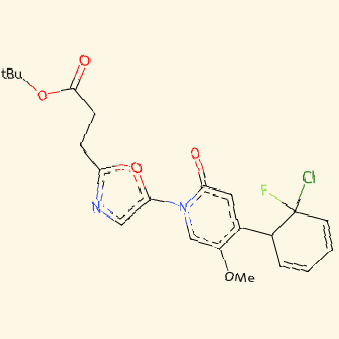 COc1cn(-c2cnc(CCC(=O)OC(C)(C)C)o2)c(=O)cc1C1C=CC=CC1(F)Cl